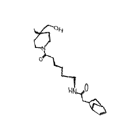 CC1(CO)CCN(C(=O)CCCCCNC(=O)CC2CC3C=CC2C3)CC1